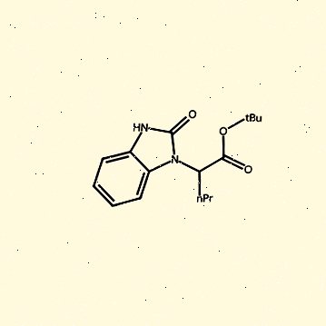 CCCC(C(=O)OC(C)(C)C)n1c(=O)[nH]c2ccccc21